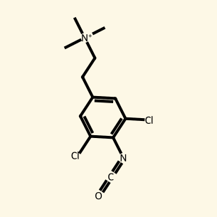 C[N+](C)(C)CCc1cc(Cl)c(N=C=O)c(Cl)c1